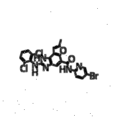 Cc1cc2c(o1)c(C(=O)Nc1ccc(Br)cn1)cc1nc(Nc3c(Cl)cccc3Cl)[nH]c12